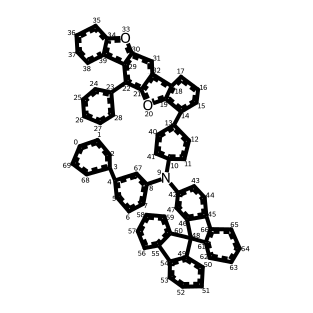 c1ccc(-c2cccc(N(c3ccc(-c4cccc5c4oc4c(-c6ccccc6)c6c(cc45)oc4ccccc46)cc3)c3ccc4c(c3)C3(c5ccccc5-c5ccccc53)c3ccccc3-4)c2)cc1